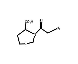 CC(C)CC(=O)N1CCCCC1C(=O)O